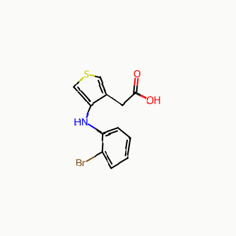 O=C(O)Cc1cscc1Nc1ccccc1Br